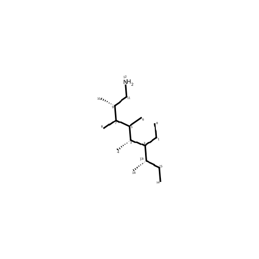 CCC([C@H](C)C(C)C(C)[C@H](C)CN)[C@@H](C)CC